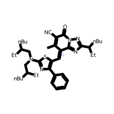 CCCCC(CC)CN(CC(CC)CCCC)c1nc(-c2ccccc2)c(/C=c2\c(C)c(C#N)c(=O)n3nc(C(CC)CCCC)nc23)s1